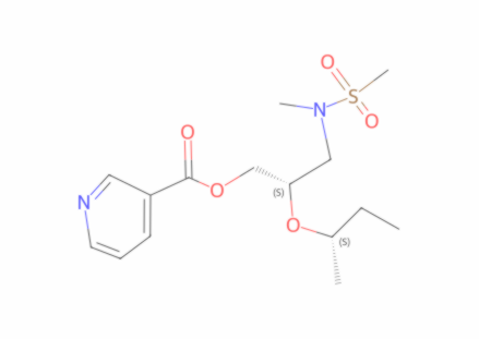 CC[C@H](C)O[C@H](COC(=O)c1cccnc1)CN(C)S(C)(=O)=O